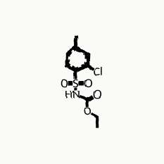 CCOC(=O)NS(=O)(=O)c1ccc(C)cc1Cl